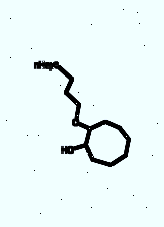 CCCCCCCCCCOC1CCCCCCC1O